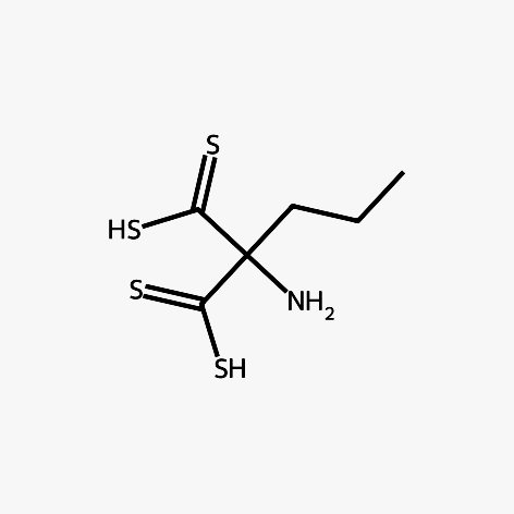 CCCC(N)(C(=S)S)C(=S)S